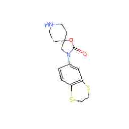 O=C1OC2(CCNCC2)CN1c1ccc2c(c1)SCCS2